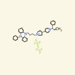 C=CC(c1ccccc1)[n+]1ccc(-c2cc[n+](CCCCN3c4ccccc4N(c4ccccc4)c4ccccc43)cc2)cc1.F[B-](F)(F)F.F[B-](F)(F)F